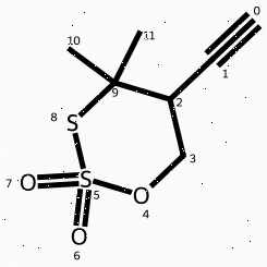 C#CC1COS(=O)(=O)SC1(C)C